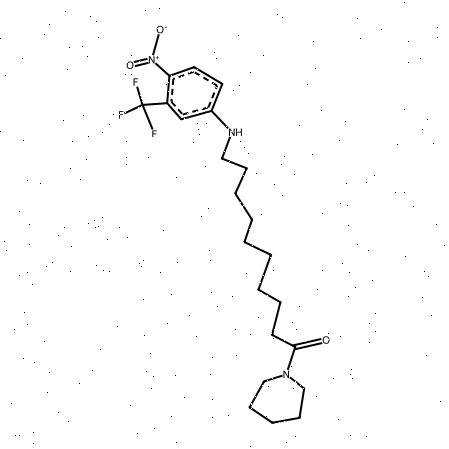 O=C(CCCCCCCCCNc1ccc([N+](=O)[O-])c(C(F)(F)F)c1)N1CCCCC1